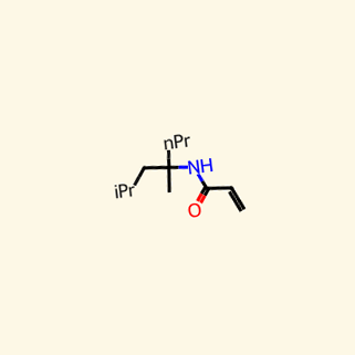 C=CC(=O)NC(C)(CCC)CC(C)C